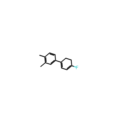 Cc1ccc(C2=CC=C(F)CC2)cc1C